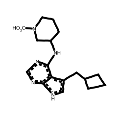 O=C(O)N1CCCC(Nc2ncnc3[nH]cc(CC4CCC4)c23)C1